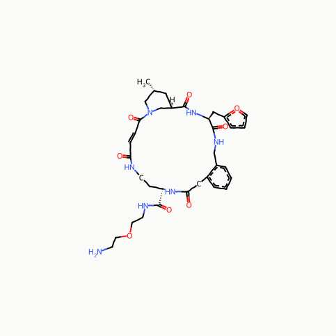 C[C@@H]1C[C@@H]2CN(C1)C(=O)/C=C/C(=O)NCC[C@@H](C(=O)NCCOCCN)NC(=O)Cc1ccccc1CNC(=O)[C@H](Cc1ccco1)NC2=O